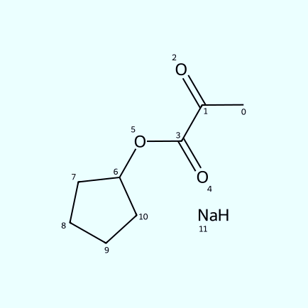 CC(=O)C(=O)OC1CCCC1.[NaH]